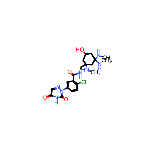 CNC1(CNC(=O)c2cc(-n3ncc(=O)[nH]c3=O)ccc2Cl)CC(O)CC(NC)(NC)C1